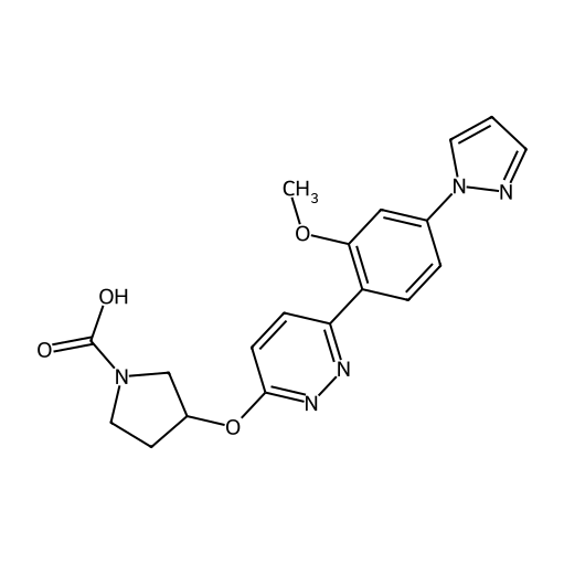 COc1cc(-n2cccn2)ccc1-c1ccc(OC2CCN(C(=O)O)C2)nn1